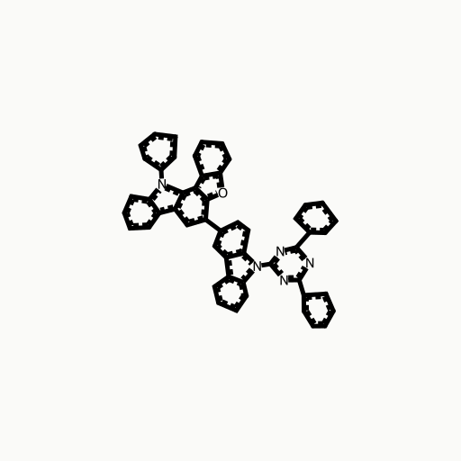 c1ccc(-c2nc(-c3ccccc3)nc(-n3c4ccccc4c4cc(-c5cc6c7ccccc7n(-c7ccccc7)c6c6c5oc5ccccc56)ccc43)n2)cc1